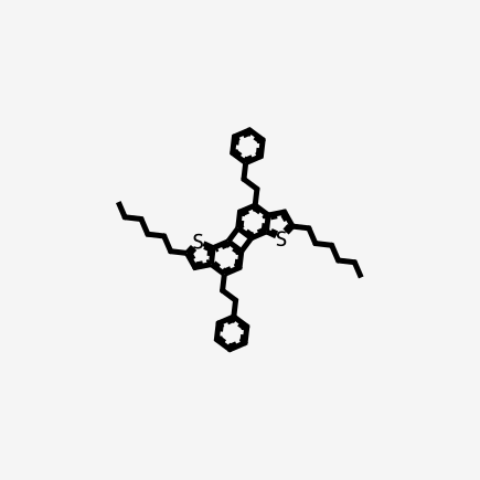 CCCCCCc1cc2c(CCc3ccccc3)cc3c(c2s1)-c1cc(CCc2ccccc2)c2cc(CCCCCC)sc2c1-3